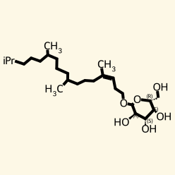 CC(=CCCOC1O[C@H](CO)[C@@H](O)[C@H](O)[C@H]1O)CCCC(C)CCCC(C)CCCC(C)C